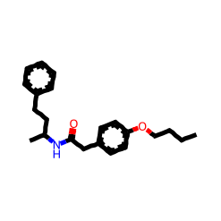 CCCCOc1ccc(CC(=O)NC(C)CCc2ccccc2)cc1